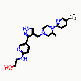 CC1CN(Cc2c[nH]nc2-c2ccc(NCCO)nc2)CCN1c1ccc(C(F)(F)F)cn1